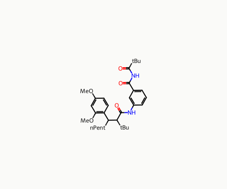 CCCCCC(c1ccc(OC)cc1OC)C(C(=O)Nc1cccc(C(=O)NC(=O)C(C)(C)C)c1)C(C)(C)C